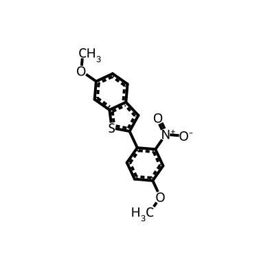 COc1ccc(-c2cc3ccc(OC)cc3s2)c([N+](=O)[O-])c1